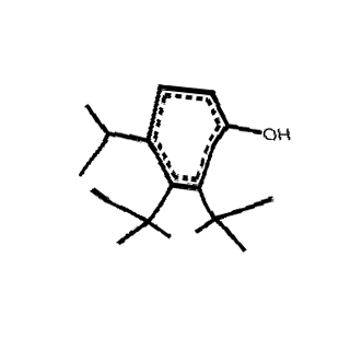 CC(C)c1ccc(O)c(C(C)(C)C)c1C(C)(C)C